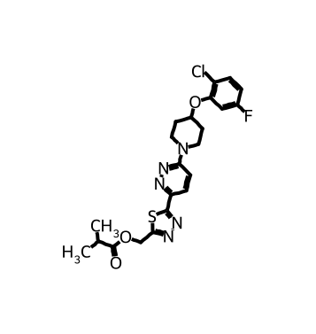 CC(C)C(=O)OCc1nnc(-c2ccc(N3CCC(Oc4cc(F)ccc4Cl)CC3)nn2)s1